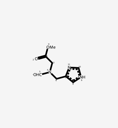 COC(=O)CN([C]=O)Cc1c[nH]cn1